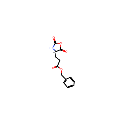 O=C(CC[C@H]1NC(=O)OC1=O)OCc1ccccc1